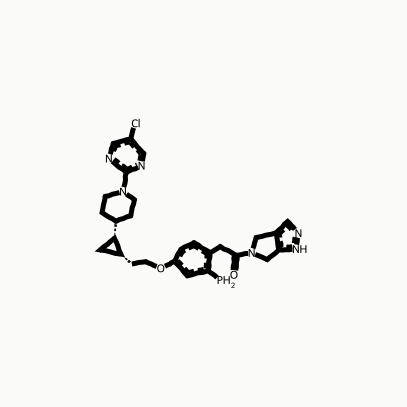 O=C(Cc1ccc(OCC[C@@H]2C[C@@H]2C2CCN(c3ncc(Cl)cn3)CC2)cc1P)N1Cc2cn[nH]c2C1